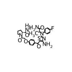 CC(C(N)=O)N(c1ccc(F)cc1)c1nc(N)c(C(=O)c2ccc(OCC(=O)N3CCC[C@H]3C(N)=O)cc2)s1